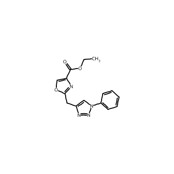 CCOC(=O)c1coc(Cc2cn(-c3ccccc3)nn2)n1